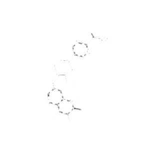 CNC(=O)c1ncc(N2CCN(Cc3cnc4c(C)c(C(F)(F)F)c(=O)[nH]c4c3)C(C)C2)cn1